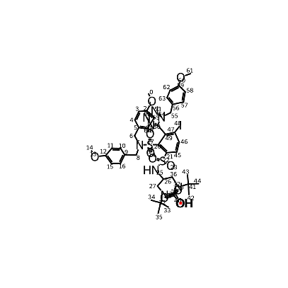 COc1ccc(CN(Cc2ccc(OC)cc2)S(=O)(=O)c2c(S(=O)(=O)NC(CN(C(=O)O)C(C)(C)C)CN(C(=O)O)C(C)(C)C)ccc(I)c2-c2nnnn2Cc2ccc(OC)cc2)cc1